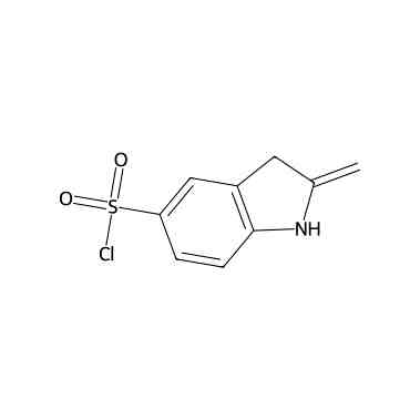 C=C1Cc2cc(S(=O)(=O)Cl)ccc2N1